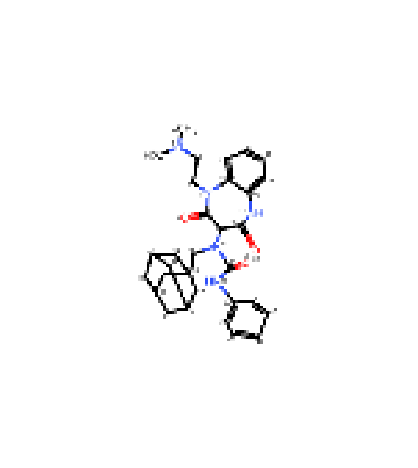 CN(C)CCN1C(=O)C(N(CC23CC4CC(CC(C4)C2)C3)C(=O)Nc2ccccc2)C(=O)Nc2ccccc21